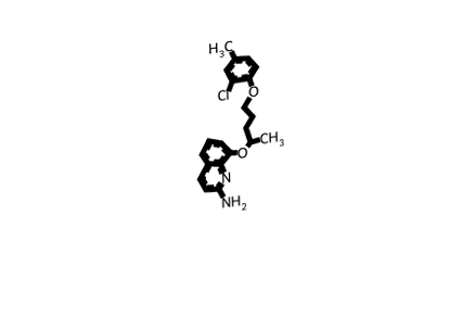 Cc1ccc(OCCCC(C)Oc2cccc3ccc(N)nc23)c(Cl)c1